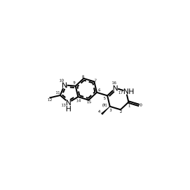 C=C1C[C@@H](C)C(c2ccc3nc(C)[nH]c3c2)=NN1